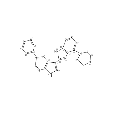 c1cncc(-c2cnc3[nH]nc(-c4nc5c(N6CCOCC6)nccc5[nH]4)c3c2)c1